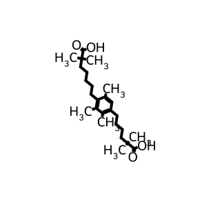 Cc1cc(CCCCC(C)(C)C(=O)O)c(C)c(C)c1CCCCCC(C)(C)C(=O)O